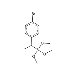 CO[Si](OC)(OC)C(C)c1ccc(Br)cc1